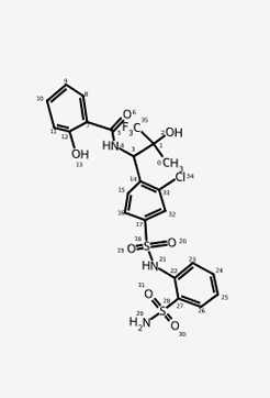 CC(O)(C(NC(=O)c1ccccc1O)c1ccc(S(=O)(=O)Nc2ccccc2S(N)(=O)=O)cc1Cl)C(F)(F)F